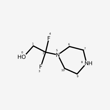 OCC(F)(F)N1CCNCC1